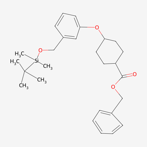 CC(C)(C)[Si](C)(C)OCc1cccc(OC2CCC(C(=O)OCc3ccccc3)CC2)c1